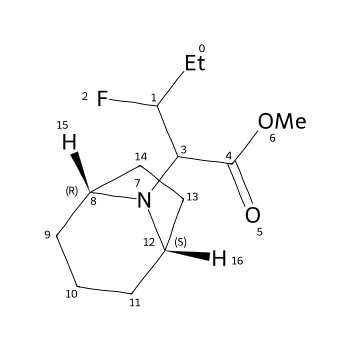 CCC(F)C(C(=O)OC)N1[C@@H]2CCC[C@H]1CC2